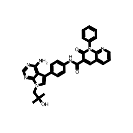 CC(C)(O)Cn1cc(-c2ccc(NC(=O)c3cc4cccnc4n(-c4ccccc4)c3=O)cc2)c2c(N)ncnc21